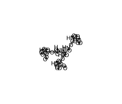 CC(=O)NC(CCC(=O)NC(CCC(=O)NCCOCCOC1OC(COC(C)=O)C(OC(C)=O)C(OC(C)=O)C1NC(C)=O)C(=O)NCCOCCOC1OC(COC(C)=O)C(OC(C)=O)C(OC(C)=O)C1NC(C)=O)C(=O)NCCOCCOC1OC(COC(C)=O)C(OC(C)=O)C(OC(C)=O)C1NC(C)=O